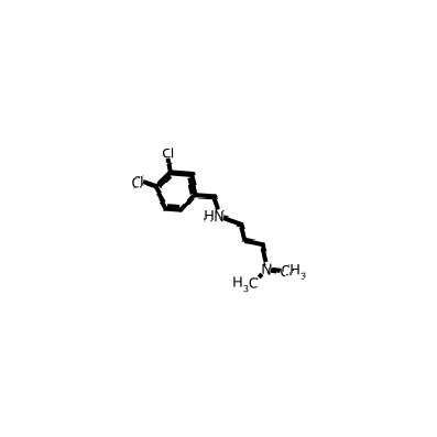 CN(C)CCCNCc1ccc(Cl)c(Cl)c1